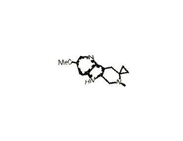 COc1cnc2c3c([nH]c2c1)CN(C)C1(CC1)C3